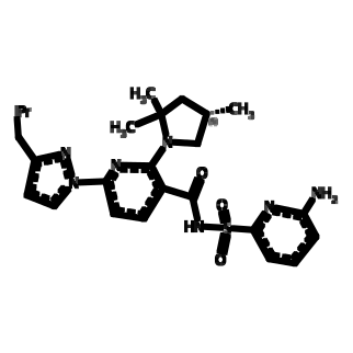 CC(C)Cc1ccn(-c2ccc(C(=O)NS(=O)(=O)c3cccc(N)n3)c(N3C[C@@H](C)CC3(C)C)n2)n1